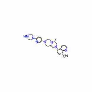 CC1CN(c2ccc(C#N)c3ncccc23)CC2CCN(c3ccc(N4CCNCC4)nc3)CCN12